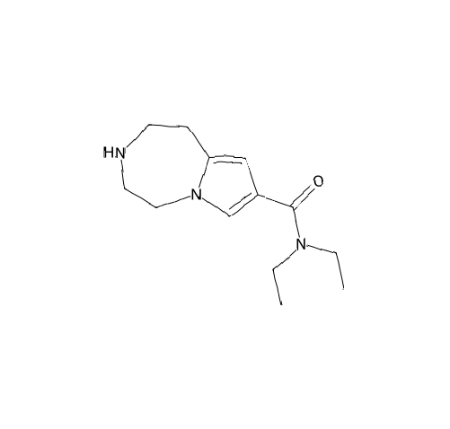 CCN(CC)C(=O)c1cc2n(c1)CCNCC2